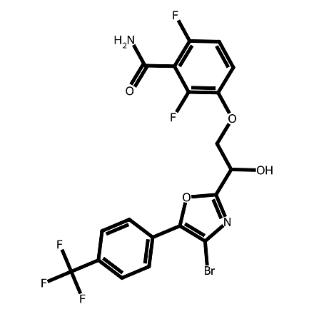 NC(=O)c1c(F)ccc(OCC(O)c2nc(Br)c(-c3ccc(C(F)(F)F)cc3)o2)c1F